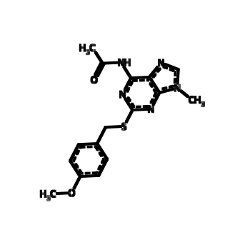 COc1ccc(CSc2nc(NC(C)=O)c3ncn(C)c3n2)cc1